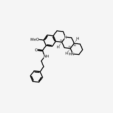 COc1cc2c(cc1C(=O)NCCc1ccccc1)[C@@H]1C[C@@H]3NCCC[C@@H]3CN1CC2